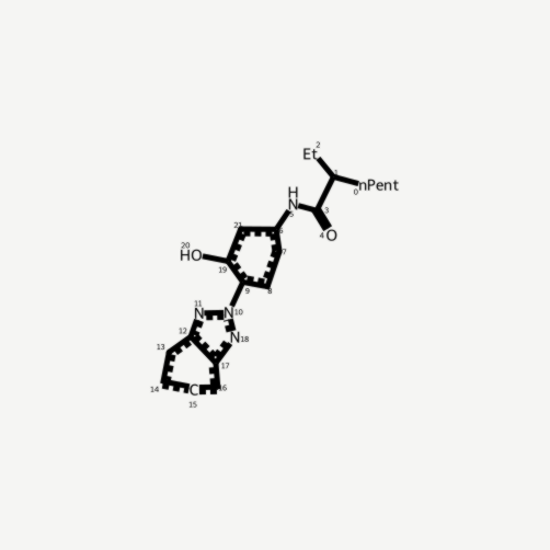 CCCCCC(CC)C(=O)Nc1ccc(-n2nc3ccccc3n2)c(O)c1